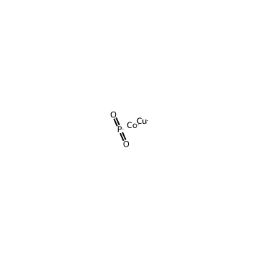 O=[P]=O.[Co].[Cu]